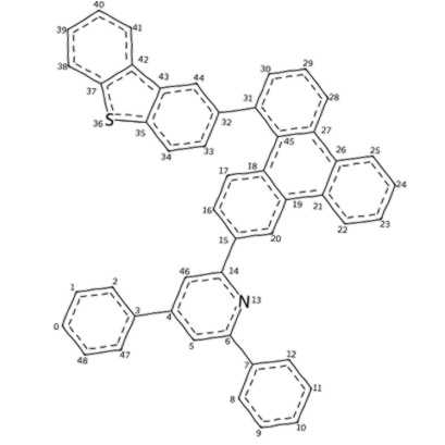 c1ccc(-c2cc(-c3ccccc3)nc(-c3ccc4c(c3)c3ccccc3c3cccc(-c5ccc6sc7ccccc7c6c5)c34)c2)cc1